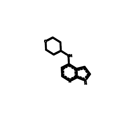 c1cc(NC2CCOCC2)c2cc[nH]c2n1